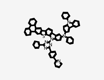 c1ccc(-c2nc(-c3ccc(-c4ccccn4)cc3)nc(-n3c4ccc(N(c5ccccc5)c5ccc6c(c5)c5ccccc5n6-c5ccccc5)cc4c4ccc5c6cc7c8ccccc8c8ccccc8c7cc6sc5c43)n2)cc1